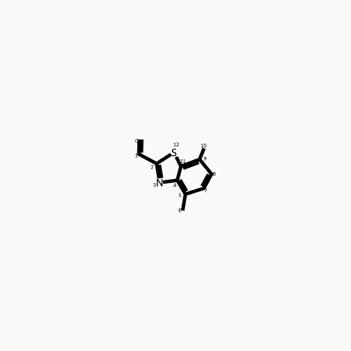 C=Cc1nc2c(C)ccc(C)c2s1